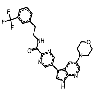 O=C(NCCc1cccc(C(F)(F)F)c1)c1ncc(-c2c[nH]c3ncc(N4CCOCC4)cc23)cn1